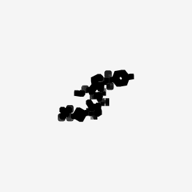 CCOc1nc(Nc2cnn(C3CC(OS(C)(=O)=O)C3)c2C)nc2c1ccn2S(=O)(=O)c1ccc(C)cc1